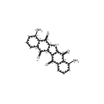 Nc1cccc2c(=O)c3c(sc4c(=O)c5c(N)cccc5c(=O)c43)c(=O)c12